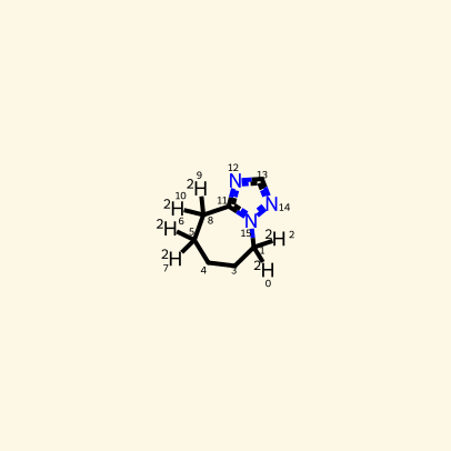 [2H]C1([2H])CCC([2H])([2H])C([2H])([2H])c2ncnn21